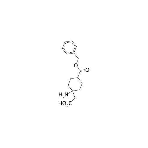 NC1(CC(=O)O)CCC(C(=O)OCc2ccccc2)CC1